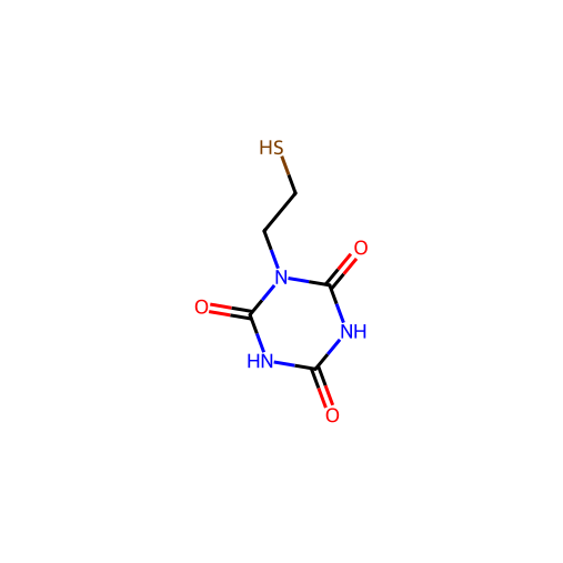 O=c1[nH]c(=O)n(CCS)c(=O)[nH]1